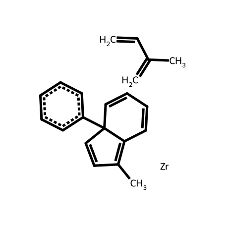 C=CC(=C)C.CC1=C2C=CC=CC2(c2ccccc2)C=C1.[Zr]